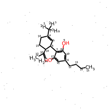 [2H]C([2H])([2H])C1=CC(c2c(O)cc(CCCC)cc2O)C(C(=C)C)CC1